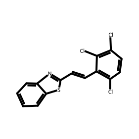 Clc1ccc(Cl)c(C=Cc2nc3ccccc3s2)c1Cl